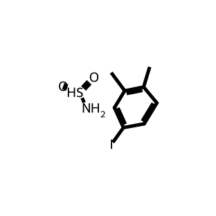 Cc1ccc(I)cc1C.N[SH](=O)=O